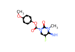 COc1ccc(OC(=O)n2cc(F)c(=N)n(C)c2=O)cc1